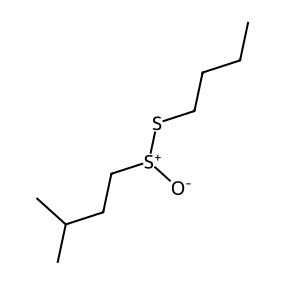 CCCCS[S+]([O-])CCC(C)C